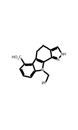 CC(C)Cn1c2c(c3c(C(=O)O)cccc31)CCc1c[nH]nc1-2